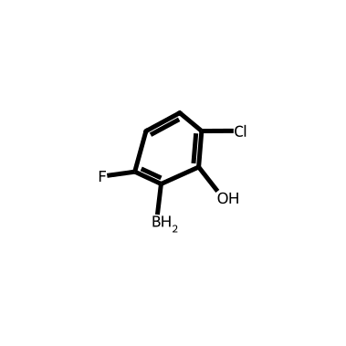 Bc1c(F)ccc(Cl)c1O